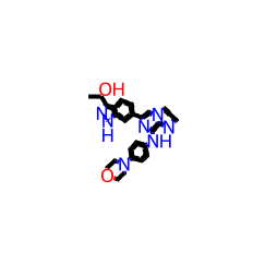 CC(O)c1n[nH]c2cc(-c3cn4ccnc4c(Nc4ccc(N5CCOCC5)cc4)n3)ccc12